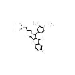 COc1ccc(C2c3c(oc4ccc(Cl)cc4c3=O)C(=O)N2CCCN(C)C)cc1C#N